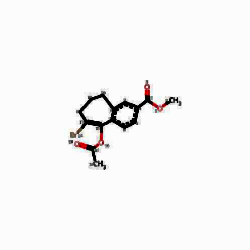 COC(=O)c1ccc2c(c1)CCCC(Br)=C2OC(C)=O